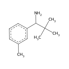 Cc1cccc(C(N)C(C)(C)C)c1